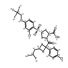 O=C(O)[C@@H]1C[C@@H](S(=O)(=O)c2ccc(OCC(F)(F)F)cc2Cl)CN1C(=O)C1(c2ccc(Cl)cn2)CN(CC(F)F)C1